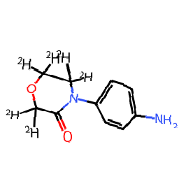 [2H]C1([2H])OC([2H])([2H])C([2H])([2H])N(c2ccc(N)cc2)C1=O